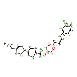 CCC1=CCC(C2CCC(C(F)(F)OC3COC(C/C=C\Cc4ccc(F)c(F)c4)OC3)CC2)CC1